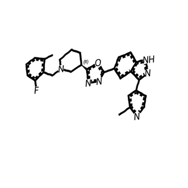 Cc1cc(-c2n[nH]c3ccc(-c4nnc([C@@H]5CCCN(Cc6c(C)cccc6F)C5)o4)cc23)ccn1